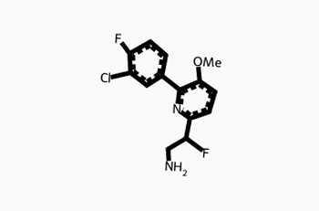 COc1ccc(C(F)CN)nc1-c1ccc(F)c(Cl)c1